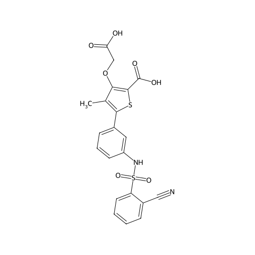 Cc1c(-c2cccc(NS(=O)(=O)c3ccccc3C#N)c2)sc(C(=O)O)c1OCC(=O)O